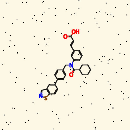 O=C(O)C=Cc1cccc(N(Cc2ccc(-c3ccc4sncc4c3)cc2)C(=O)C2CCCCC2)c1